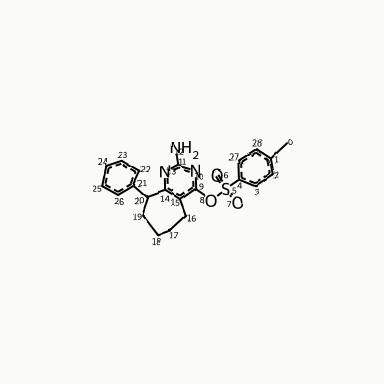 Cc1ccc(S(=O)(=O)Oc2nc(N)nc3c2CCCCC3c2ccccc2)cc1